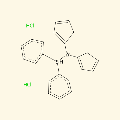 C1=CC[C]([Zr]([C]2=CC=CC2)[SiH](c2ccccc2)c2ccccc2)=C1.Cl.Cl